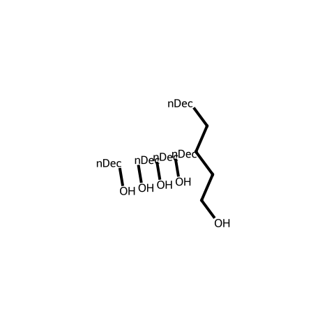 CCCCCCCCCCCCCCO.CCCCCCCCCCO.CCCCCCCCCCO.CCCCCCCCCCO.CCCCCCCCCCO